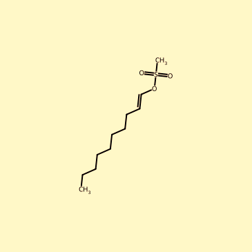 CCCCCCCCC=COS(C)(=O)=O